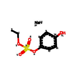 CCOS(=O)(=O)Oc1ccc(O)cc1.[NaH]